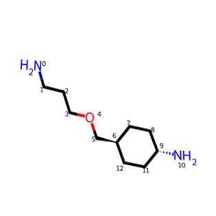 NCCCOC[C@H]1CC[C@H](N)CC1